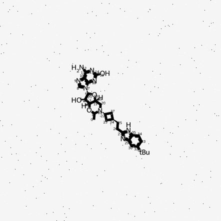 CC1O[C@H]2[C@@H](O)[C@H](n3cnc4c(N)nc(O)nc43)O[C@@H]2CN1[C@H]1C[C@H](CCc2nc3cc(C(C)(C)C)ccc3[nH]2)C1